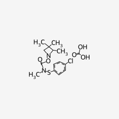 CC1N(OC(=O)N(C)Sc2ccc(Cl)cc2)CC1(C)C.O=C(O)O